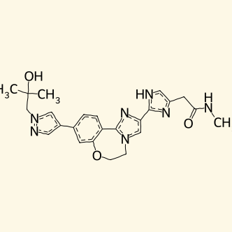 CNC(=O)Cc1c[nH]c(-c2cn3c(n2)-c2ccc(-c4cnn(CC(C)(C)O)c4)cc2OCC3)n1